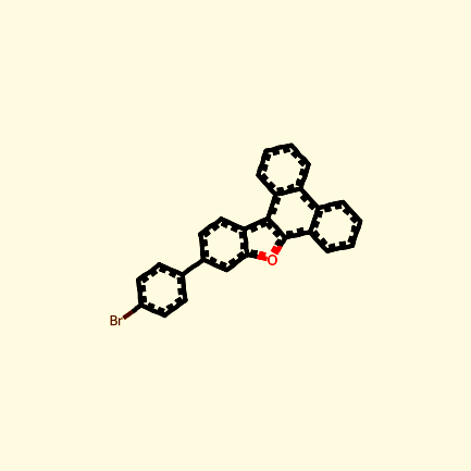 Brc1ccc(-c2ccc3c(c2)oc2c4ccccc4c4ccccc4c32)cc1